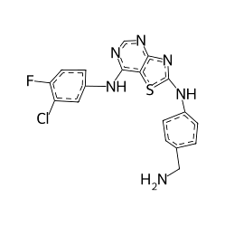 NCc1ccc(Nc2nc3ncnc(Nc4ccc(F)c(Cl)c4)c3s2)cc1